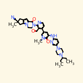 CCC(CC)N1CCN(c2ccc(Nc3cc(-c4ccnc(N5CCn6c(cc7c6CC(C)(C#N)C7)C5=O)c4C=O)cn(C)c3=O)nc2)CC1